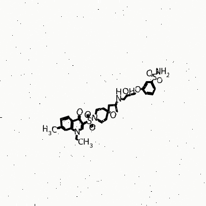 CCn1cc(S(=O)(=O)N2CCC3(CC2)CC(NCC(O)COc2cccc(S(N)(=O)=O)c2)CO3)c(=O)c2ccc(C)cc21